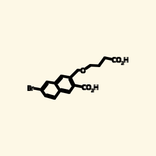 O=C(O)CCCOCc1cc2cc(Br)ccc2cc1C(=O)O